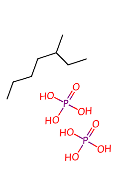 CCCCC(C)CC.O=P(O)(O)O.O=P(O)(O)O